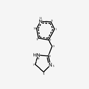 c1cc(CC2=NCCN2)ccn1